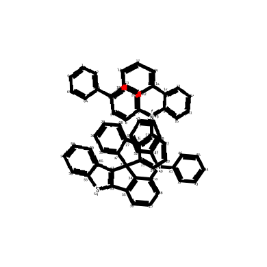 c1ccc(-c2ccc(N(c3ccccc3-c3ccccc3)c3cccc4c3-c3ccccc3C43c4c(cccc4N(c4ccccc4)c4ccccc4)-c4sc5ccccc5c43)cc2)cc1